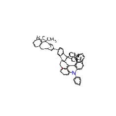 CC1(C)C2=CC(c3ccc4c(c3)C3=C(C(c5c(N(c6ccccc6)c6ccccc6)ccc6ccccc56)=CCC3)C4(C)C)=CC(C2)CC2=C1CCC=C2